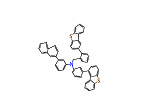 c1cc(-c2ccc3ccccc3c2)cc(N(Cc2ccccc2-c2ccc3sc4ccccc4c3c2)c2cccc(-c3cccc4sc5ccccc5c34)c2)c1